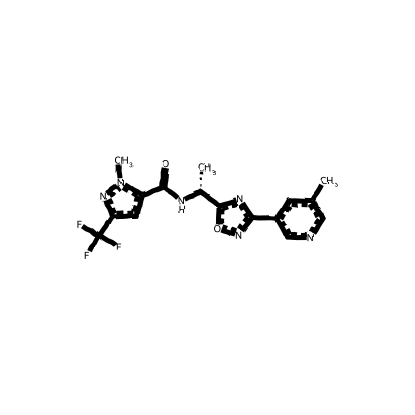 Cc1cncc(-c2noc([C@@H](C)NC(=O)c3cc(C(F)(F)F)nn3C)n2)c1